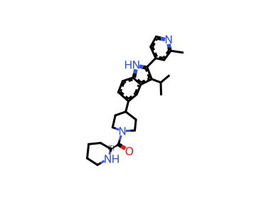 Cc1cc(-c2[nH]c3ccc(C4CCN(C(=O)[C@@H]5CCCCN5)CC4)cc3c2C(C)C)ccn1